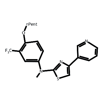 CCCCCOc1ccc(N(C)c2nc(-c3cccnc3)cs2)cc1C(F)(F)F